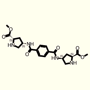 COC(=O)[C@@H]1C[C@H](NC(=O)c2ccc(C(=O)N[C@@H]3CN[C@H](C(=O)OC)C3)cc2)CN1